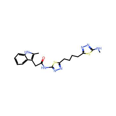 CNc1nnc(CCCCc2nnc(NC(=O)Cc3c(C)[nH]c4ccccc34)s2)s1